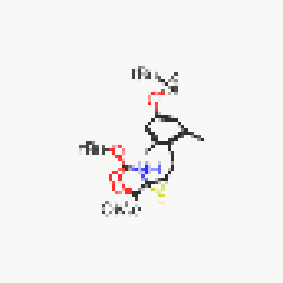 COC(=O)C1(NC(=O)OC(C)(C)C)SC1Cc1c(C)cc(O[Si](C)(C)C(C)(C)C)cc1C